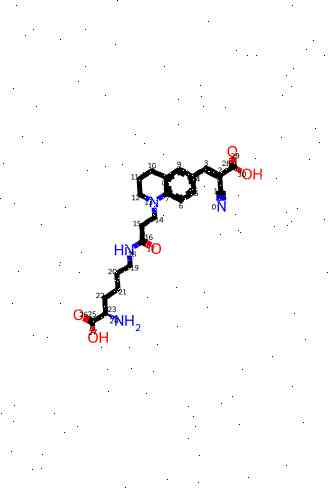 N#C/C(=C\c1ccc2c(c1)CCCN2CCC(=O)NCCCC[C@@H](N)C(=O)O)C(=O)O